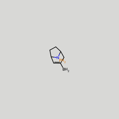 BC1=CC2CCC(C1)N2P